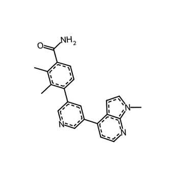 Cc1c(C(N)=O)ccc(-c2cncc(-c3ccnc4c3ccn4C)c2)c1C